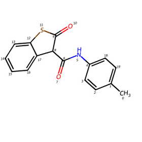 Cc1ccc(NC(=O)C2C(=O)Sc3ccccc32)cc1